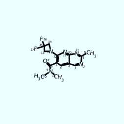 Cc1ncc2cc(C(=O)N(C)C)c(N3CC(F)(F)C3)nc2n1